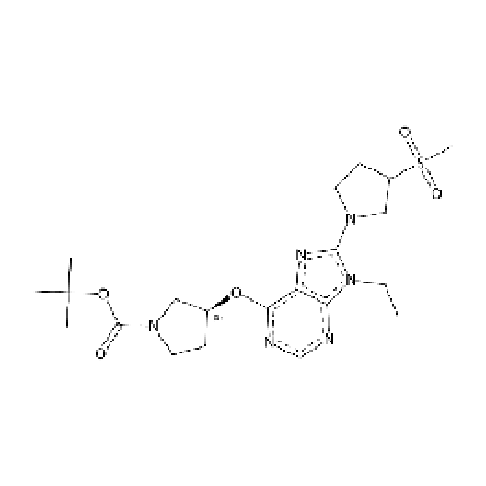 CCn1c(N2CCC(S(C)(=O)=O)C2)nc2c(O[C@H]3CCN(C(=O)OC(C)(C)C)C3)ncnc21